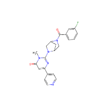 Cn1c(N2CC3CC2CN3C(=O)c2cccc(F)c2)nc(-c2ccncc2)cc1=O